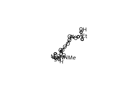 CC/C(=C(\c1ccc(O)cc1)c1ccc(OCCN(C)C(=O)COCCOCCOCCOC(=O)N2CCC([C@H](NC(=O)[C@H](C)NC)C(=O)N3CCC[C@H]3c3nc4c(-c5ccccc5)nccc4s3)CC2)cc1)c1ccccc1